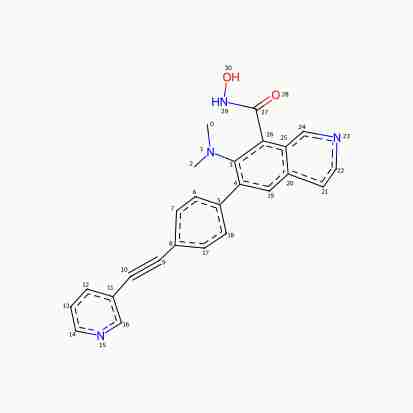 CN(C)c1c(-c2ccc(C#Cc3cccnc3)cc2)cc2ccncc2c1C(=O)NO